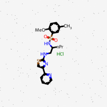 CCCC(CNc1nc(-c2ccccn2)cs1)NS(=O)(=O)c1cc(C)ccc1OC.Cl